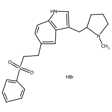 Br.CN1CCCC1Cc1c[nH]c2ccc(CCS(=O)(=O)c3ccccc3)cc12